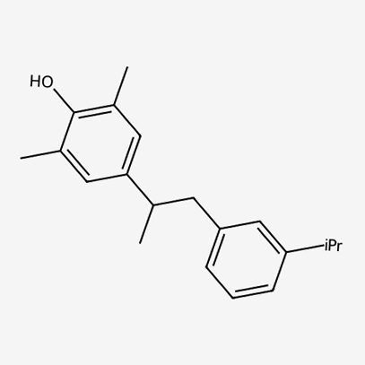 Cc1cc(C(C)Cc2cccc(C(C)C)c2)cc(C)c1O